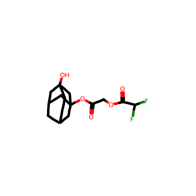 O=C(COC(=O)C(F)F)OC12CC3CC(CC(O)(C3)C1)C2